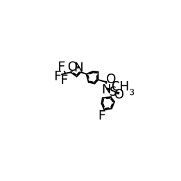 CS(=O)(=NC(=O)c1ccc(-c2cc(C(F)(F)F)on2)cc1)c1ccc(F)cc1